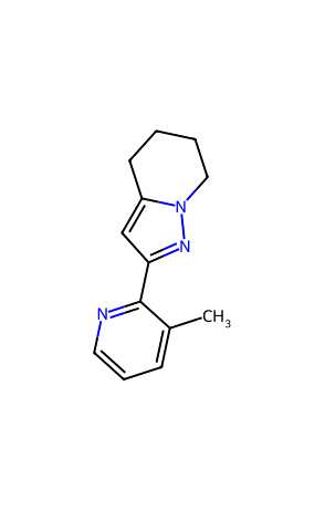 Cc1cccnc1-c1cc2n(n1)CCCC2